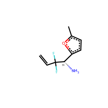 C=CC(F)(F)[C@@H](N)c1ccc(C)o1